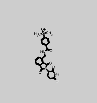 C[Si](C)(O)c1ccc(C(=O)NCc2cccc3c2C(=O)N(C2CCC(=O)NC2=O)C3=O)cc1